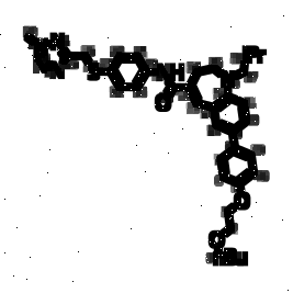 CCCCOCCOc1ccc(-c2ccc3c(c2)C=C(C(=O)Nc2ccc(SCc4nnn(C)n4)cc2)CCN3CC(C)C)cc1